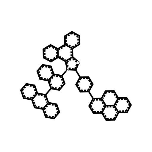 c1ccc2c(-c3ccc(-n4c(-c5ccc(-c6ccc7ccc8cccc9ccc6c7c89)cc5)nc5c6ccccc6c6ccccc6c54)c4ccccc34)c3ccccc3cc2c1